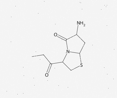 CCC(=O)C1CSC2CC(N)C(=O)N21